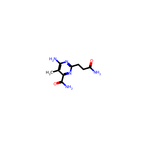 Cc1c(N)nc(CCC(N)=O)nc1C(N)=O